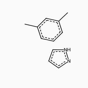 Cc1cccc(C)c1.c1cn[nH]c1